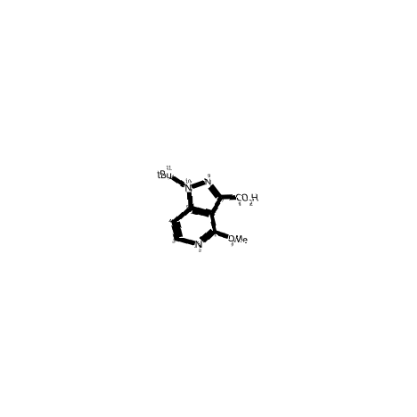 COc1nccc2c1c(C(=O)O)nn2C(C)(C)C